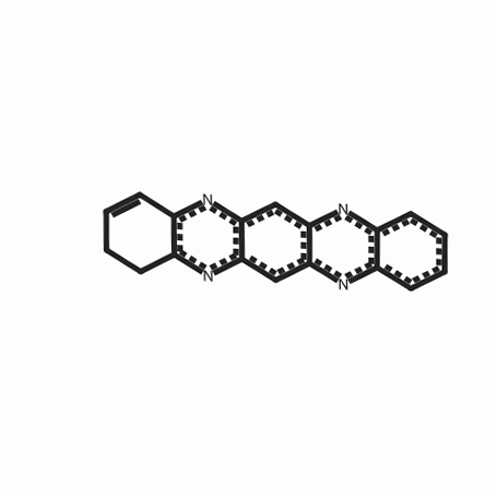 C1=Cc2nc3cc4nc5ccccc5nc4cc3nc2CC1